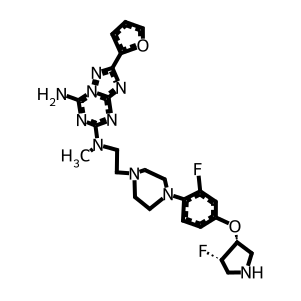 CN(CCN1CCN(c2ccc(O[C@@H]3CNC[C@@H]3F)cc2F)CC1)c1nc(N)n2nc(-c3ccco3)nc2n1